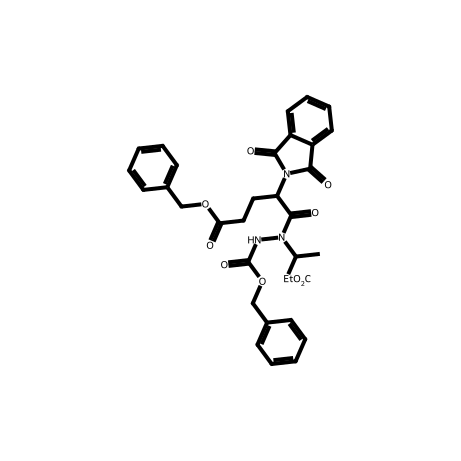 CCOC(=O)C(C)N(NC(=O)OCc1ccccc1)C(=O)C(CCC(=O)OCc1ccccc1)N1C(=O)c2ccccc2C1=O